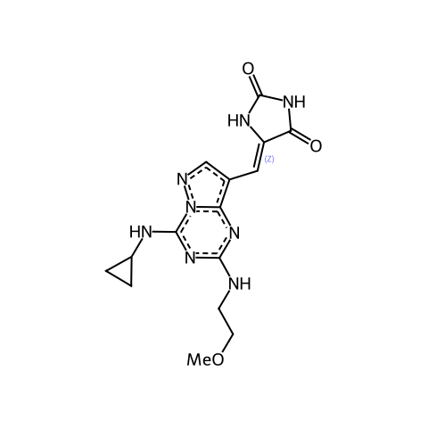 COCCNc1nc(NC2CC2)n2ncc(/C=C3\NC(=O)NC3=O)c2n1